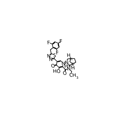 CCN1C(=O)c2c(O)c(=O)c(-c3nnc(Cc4c(F)cc(F)cc4F)s3)cn2N2C[C@@H]3CC[C@@H](C3)[C@@H]12